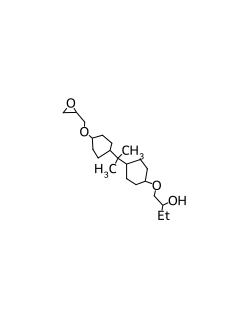 CCC(O)COC1CCC(C(C)(C)C2CCC(OCC3CO3)CC2)CC1